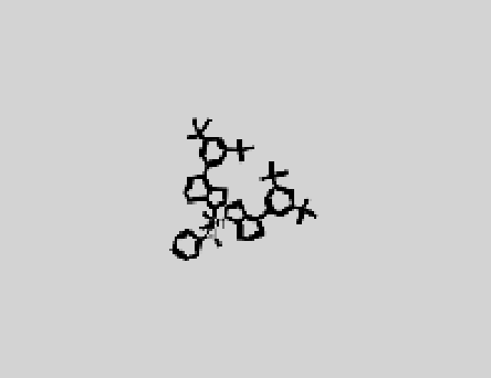 C[Si](c1ccccc1)=[Hf]([CH3])([CH3])([CH]1C=Cc2c(-c3cc(C(C)(C)C)cc(C(C)(C)C)c3)cccc21)[CH]1C=Cc2c(-c3cc(C(C)(C)C)cc(C(C)(C)C)c3)cccc21